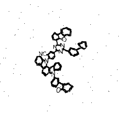 N#Cc1cc(-c2nc(-c3cccc(-c4ccccc4)c3)nc(-c3cccc4c3oc3ccccc34)n2)ccc1-n1c2ccccc2c2ccc3c(c4ccccc4n3-c3ccc4oc5ccccc5c4c3)c21